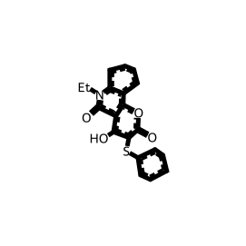 CCn1c(=O)c2c(O)c(Sc3ccccc3)c(=O)oc2c2ccccc21